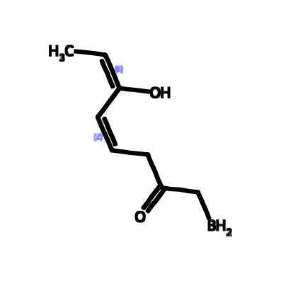 BCC(=O)C/C=C\C(O)=C/C